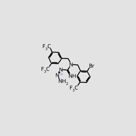 N=C(/N=N\N)N(Cc1cc(C(F)(F)F)cc(C(F)(F)F)c1)Cc1cc(C(F)(F)F)ccc1Br